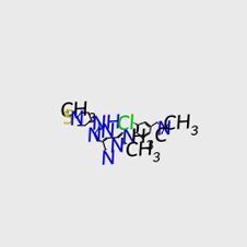 CSN1CCC(Nc2ncc(C#N)c(-c3cn(-c4ccc(CN(C)C)cc4Cl)c(C)n3)n2)CC1